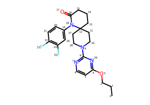 CCCOc1ccnc(N2CCC3(CCCC(=O)N3c3ccc(F)c(F)c3)CC2)n1